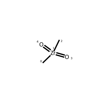 [CH3][Zr]([CH3])(=[O])=[O]